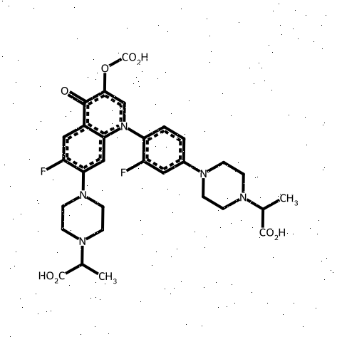 CC(C(=O)O)N1CCN(c2ccc(-n3cc(OC(=O)O)c(=O)c4cc(F)c(N5CCN(C(C)C(=O)O)CC5)cc43)c(F)c2)CC1